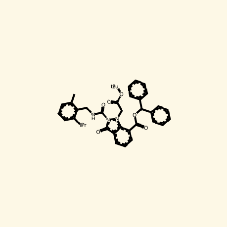 Cc1cccc(C(C)C)c1CNC(=O)n1c(=O)c2cccc(C(=O)OC(c3ccccc3)c3ccccc3)c2n1CC(=O)OC(C)(C)C